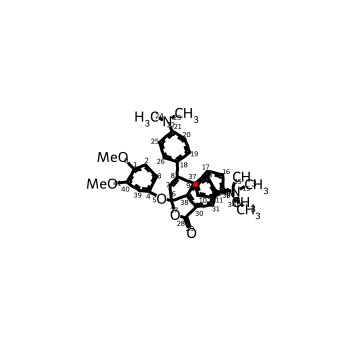 COc1ccc(OC2(C=C(c3ccc(N(C)C)cc3)c3ccc(N(C)C)cc3)OC(=O)c3cc(N(C)C)ccc32)cc1OC